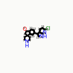 O=C1CC2(CCNCC2)c2cc(-c3c[nH]c4nc(Cl)ccc34)ccc21